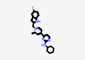 C=C/C=C(\C=C/N(C)Cc1cc2cc(F)ccc2[nH]1)c1ccnc(NC2CCCCC2)n1